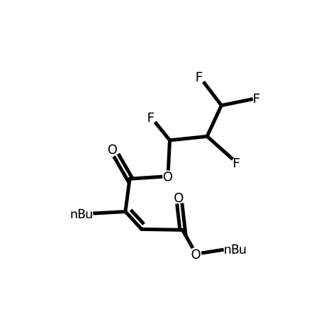 CCCCOC(=O)/C=C(/CCCC)C(=O)OC(F)C(F)C(F)F